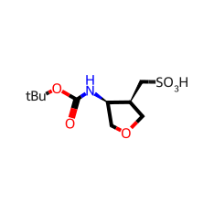 CC(C)(C)OC(=O)N[C@@H]1COC[C@@H]1CS(=O)(=O)O